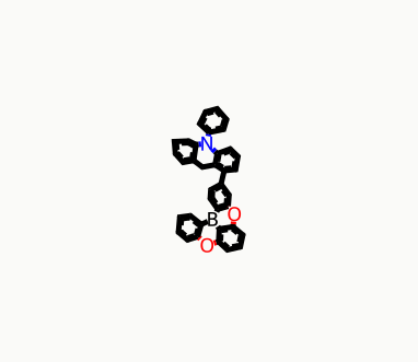 c1ccc(N2c3ccccc3Cc3c(-c4ccc5c(c4)Oc4cccc6c4B5c4ccccc4O6)cccc32)cc1